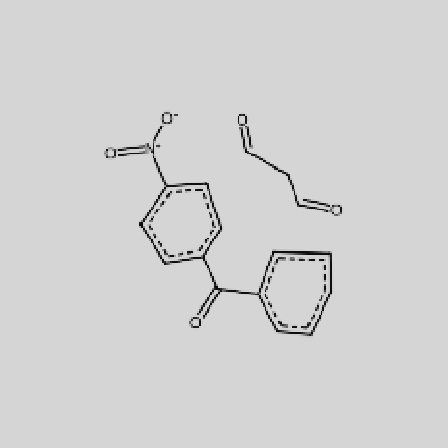 O=C(c1ccccc1)c1ccc([N+](=O)[O-])cc1.O=CCC=O